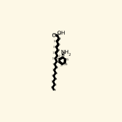 CCCCCCCCCCCCCC=CC=CC=CC(=O)O.CN.c1ccccc1